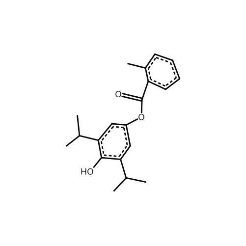 Cc1ccccc1C(=O)Oc1cc(C(C)C)c(O)c(C(C)C)c1